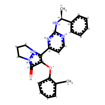 Cc1ccccc1Oc1c(-c2ccnc(N[C@@H](C)c3ccccc3)n2)n2n(c1=O)CCC2